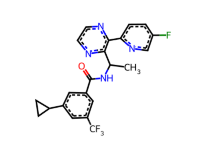 CC(NC(=O)c1cc(C2CC2)cc(C(F)(F)F)c1)c1nccnc1-c1ccc(F)cn1